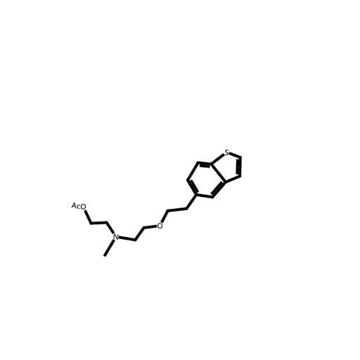 CC(=O)OCCN(C)CCOCCc1ccc2sccc2c1